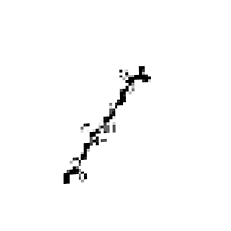 C=CC(=O)OCCNC(=O)NCCOCCOC(=O)C(=C)C